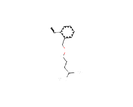 C=Cc1ccccc1CO[SiH2]CCC(OC)OC